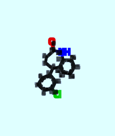 O=C1CCC(c2cccc(Cl)c2)c2ccccc2N1